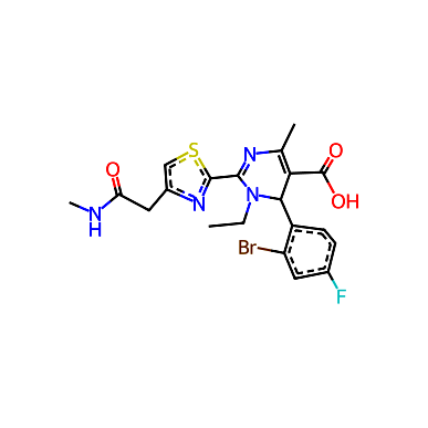 CCN1C(c2nc(CC(=O)NC)cs2)=NC(C)=C(C(=O)O)C1c1ccc(F)cc1Br